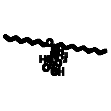 CCCCCCCCCCOCCCCCCCC.N.N.O=S(=O)(O)O